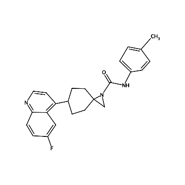 Cc1ccc(NC(=O)N2CC23CCC(c2ccnc4ccc(F)cc24)CC3)cc1